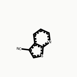 N#Cc1csc2ncccc12